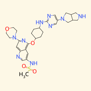 CS(=O)(=O)Nc1cnc2cc(N3CCOCC3)nc(OC3CCC(Nc4ncc(N5CC6CNCC6C5)cn4)CC3)c2c1